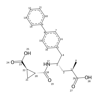 C[C@H](C[C@@H](Cc1ccc(-c2ccccc2)cc1)NC(=O)[C@@H]1C[C@H]1C(=O)O)C(=O)O